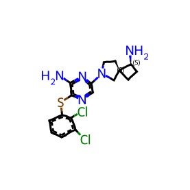 Nc1nc(N2CC[C@@]3(CC[C@@H]3N)C2)cnc1Sc1cccc(Cl)c1Cl